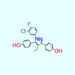 CCc1c(-c2ccc(O)cc2)nn(-c2ccc(F)c(Cl)c2)c1-c1ccc(O)cc1